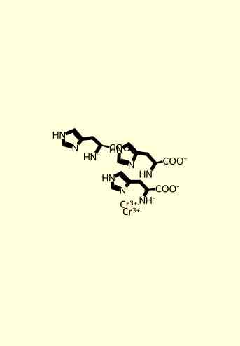 [Cr+3].[Cr+3].[NH-][C@@H](Cc1c[nH]cn1)C(=O)[O-].[NH-][C@@H](Cc1c[nH]cn1)C(=O)[O-].[NH-][C@@H](Cc1c[nH]cn1)C(=O)[O-]